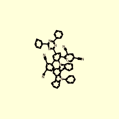 N#Cc1ccc(-c2cc(-c3nc(-c4ccccc4)nc(-c4ccccc4)n3)cc(-c3ccc(C#N)cc3C#N)c2-n2c3ccccc3c3c2ccc2c4ccccc4n(-c4ccccc4)c23)c(C#N)c1